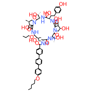 CCCCCOc1ccc(-c2ccc(-c3ccc(C(=O)N[C@H]4C[C@@H](O)[C@@H](OCCC)NC(=O)[C@@H]5[C@@H](O)[C@@H](C)CN5C(=O)[C@H]([C@@H](C)O)NC(=O)[C@H]([C@H](O)[C@@H](O)c5ccc(O)cc5)NC(=O)[C@@H]5C[C@@H](O)CN5C(=O)[C@H]([C@@H](C)O)NC4=O)cc3)cc2)cc1